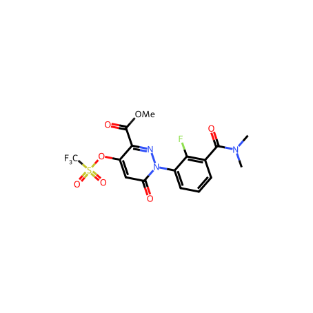 COC(=O)c1nn(-c2cccc(C(=O)N(C)C)c2F)c(=O)cc1OS(=O)(=O)C(F)(F)F